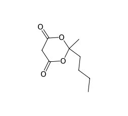 CCCCC1(C)OC(=O)CC(=O)O1